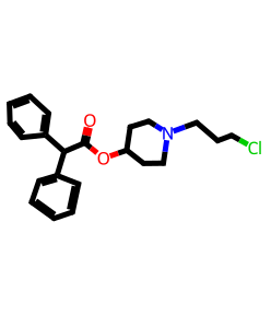 O=C(OC1CCN(CCCCl)CC1)C(c1ccccc1)c1ccccc1